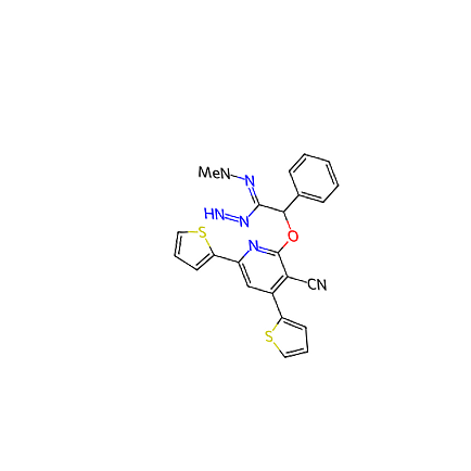 CN/N=C(\N=N)C(Oc1nc(-c2cccs2)cc(-c2cccs2)c1C#N)c1ccccc1